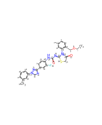 Cc1ccc(COCC(F)(F)F)c(N2C(=O)CS/C2=N\C(=O)Nc2ccc(-c3ncn(-c4cccc(C(F)(F)F)c4)n3)cc2F)c1